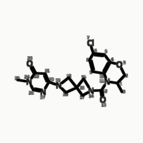 CC1COc2cc(Cl)ccc2N1C(=O)N1CC2(C1)CN(c1cc(=O)n(C)cn1)C2